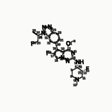 COc1nc(N[C@H]2CCN(C)C[C@H]2F)nn2cc(F)c(-c3ccc4nnn([C@H](C)CF)c4c3)c12